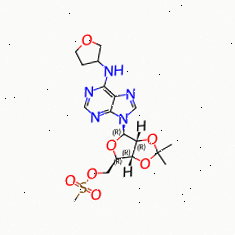 CC1(C)O[C@@H]2[C@H](O1)[C@@H](COS(C)(=O)=O)O[C@H]2n1cnc2c(NC3CCOC3)ncnc21